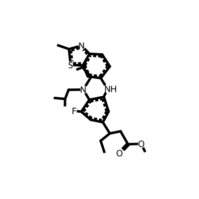 CCC(CC(=O)OC)c1cc(F)c(N(CC(C)C)CC(C)C)c(Nc2ccc3nc(C)sc3c2)c1